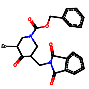 CCC1CN(C(=O)OCc2ccccc2)CC(CN2C(=O)c3ccccc3C2=O)C1=O